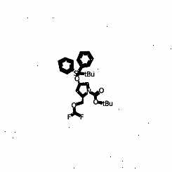 CC(C)(C)OC(=O)N1C[C@H](O[Si](c2ccccc2)(c2ccccc2)C(C)(C)C)C[C@@H]1COC(F)F